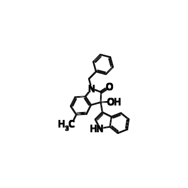 Cc1ccc2c(c1)C(O)(c1c[nH]c3ccccc13)C(=O)N2Cc1ccccc1